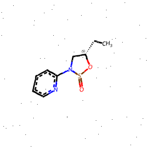 CC[C@H]1CN(c2ccccn2)S(=O)O1